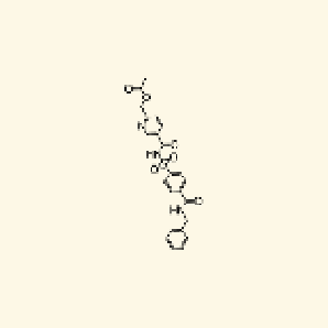 CC(=O)OCc1ccc(C(=O)NS(=O)(=O)c2ccc(C(=O)NCc3ccccc3)cc2)cn1